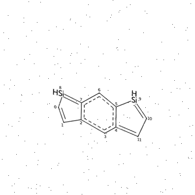 C1=Cc2cc3c(cc2=[SiH]1)[SiH]=CC=3